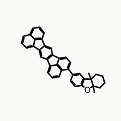 CC12CCCCC1(C)c1cc(-c3ccc4c5cc6c(cc5c5cccc3c54)c3cccc4cccc6c43)ccc1O2